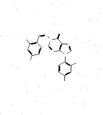 N=c1c2ncn(-c3ccc(F)cc3F)c2ncn1/N=C\c1ccc(F)cc1F